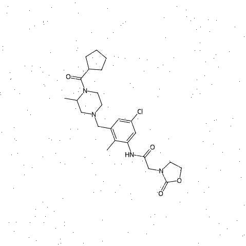 Cc1c(CN2CCN(C(=O)C3CCCC3)C(C)C2)cc(Cl)cc1NC(=O)CN1CCOC1=O